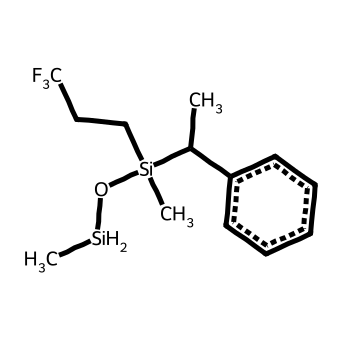 C[SiH2]O[Si](C)(CCC(F)(F)F)C(C)c1ccccc1